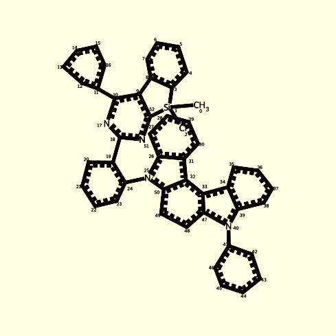 C[Si]1(C)c2ccccc2-c2c(-c3ccccc3)nc(-c3ccccc3-n3c4ccccc4c4c5c6ccccc6n(-c6ccccc6)c5ccc43)nc21